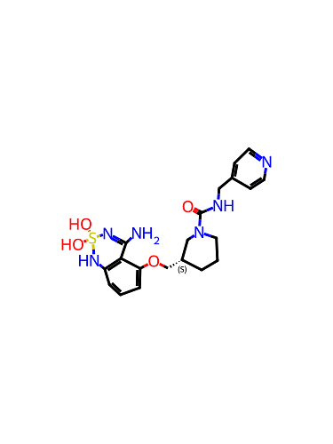 NC1=NS(O)(O)Nc2cccc(OC[C@H]3CCCN(C(=O)NCc4ccncc4)C3)c21